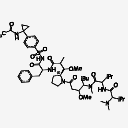 CCC(C)C(C(CC(=O)N1CCC[C@H]1C(OC)C(C)C(=O)NC(Cc1ccccc1)C(=O)NS(=O)(=O)c1ccc(C2(NC(=O)C(F)(F)F)CC2)cc1)OC)N(C)C(=O)C(NC(=O)C(C(C)C)N(C)C)C(C)C